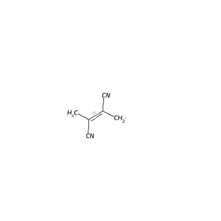 [CH2]/C(C#N)=C(/C)C#N